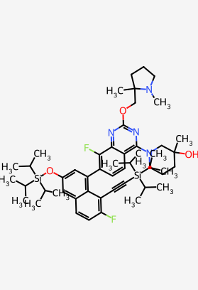 CC(C)[Si](C#Cc1c(F)ccc2cc(O[Si](C(C)C)(C(C)C)C(C)C)cc(-c3ccc4c(N5CCCC(C)(O)C5)nc(OCC5(C)CCCN5C)nc4c3F)c12)(C(C)C)C(C)C